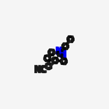 N#Cc1ccc2c(c1)C1(CCCCC1)c1ccc(-c3ccccc3-c3cc(-c4ccccc4)nc(-c4ccc(-c5ccccc5)cc4)n3)cc1-2